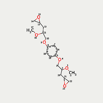 COC(COc1ccc(OCC(CC2CO2)OC)cc1)CC1CO1